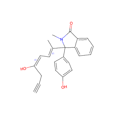 C#CC/C(O)=C\C=C(/C)C1(c2ccc(O)cc2)c2ccccc2C(=O)N1C